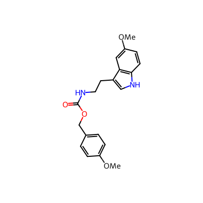 COc1ccc(COC(=O)NCCc2c[nH]c3ccc(OC)cc23)cc1